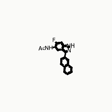 CC(=O)Nc1cc2c(-c3ccc4ccccc4c3)n[nH]c2cc1F